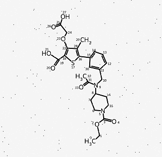 CCOC(=O)N1CCC(N(Cc2cccc(-c3sc(C(=O)O)c(OCC(=O)O)c3C)c2)C(C)=O)CC1